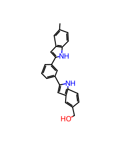 Cc1ccc2[nH]c(-c3cccc(-c4cc5cc(CO)ccc5[nH]4)c3)cc2c1